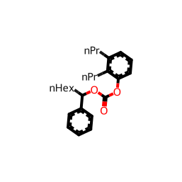 CCCCCCC(OC(=O)Oc1cccc(CCC)c1CCC)c1ccccc1